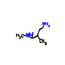 CNCC(C)CCN